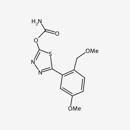 COCc1ccc(OC)cc1-c1nnc(OC(N)=O)s1